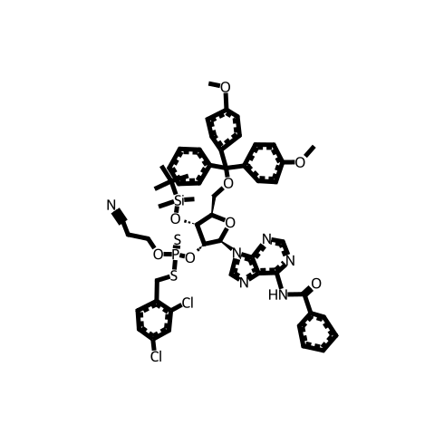 COc1ccc(C(OC[C@H]2O[C@@H](n3cnc4c(NC(=O)c5ccccc5)ncnc43)[C@H](OP(=S)(OCCC#N)SCc3ccc(Cl)cc3Cl)[C@@H]2O[Si](C)(C)C(C)(C)C)(c2ccccc2)c2ccc(OC)cc2)cc1